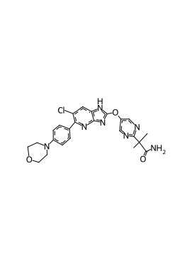 CC(C)(C(N)=O)c1ncc(Oc2nc3nc(-c4ccc(N5CCOCC5)cc4)c(Cl)cc3[nH]2)cn1